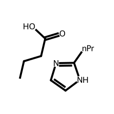 CCCC(=O)O.CCCc1ncc[nH]1